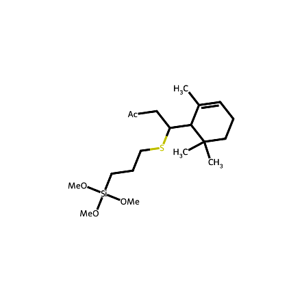 CO[Si](CCCSC(CC(C)=O)C1C(C)=CCCC1(C)C)(OC)OC